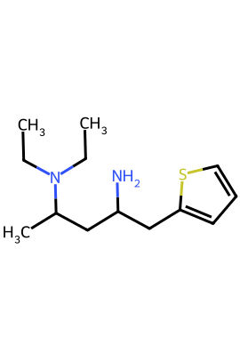 CCN(CC)C(C)CC(N)Cc1cccs1